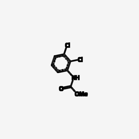 COC(=O)Nc1cccc(Cl)c1Cl